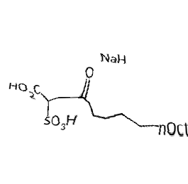 CCCCCCCCCCCC(=O)C(C(=O)O)S(=O)(=O)O.[NaH]